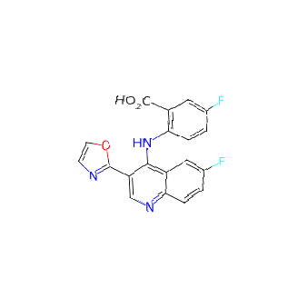 O=C(O)c1cc(F)ccc1Nc1c(-c2ncco2)cnc2ccc(F)cc12